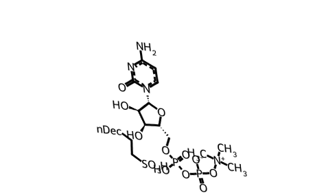 CCCCCCCCCCCCS(=O)(=O)O.C[N+](C)(C)OP(=O)([O-])OP(=O)(O)OC[C@H]1O[C@@H](n2ccc(N)nc2=O)[C@H](O)[C@@H]1O